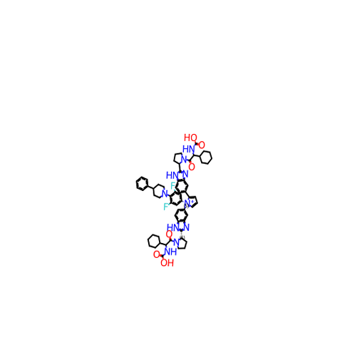 O=C(O)NC(C(=O)N1CCCC1c1nc2cc(C3=CC=C[N@@+]3(c3cc(F)c(N4CCC(c5ccccc5)CC4)c(F)c3)c3ccc4[nH]c([C@@H]5CCCN5C(=O)C(NC(=O)O)C5CCCCC5)nc4c3)ccc2[nH]1)C1CCCCC1